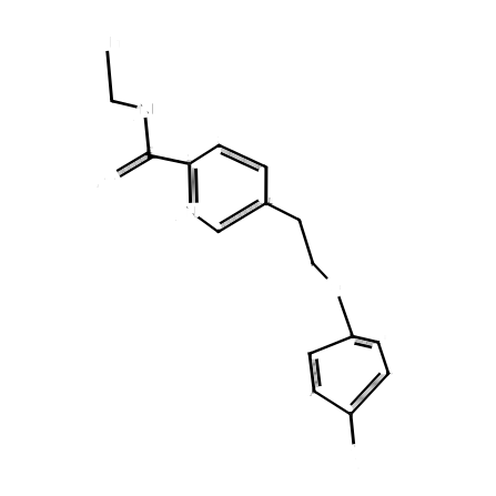 CC(C)CNC(=O)c1ccc(CCOc2ccc(C(F)(F)F)cc2)cn1